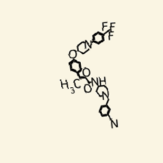 Cc1c(C(=O)NC2CCN(Cc3cccc(C#N)c3)CC2)oc2cc(OC3CCN(c4ccc(C(F)(F)F)cc4)CC3)ccc12